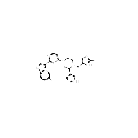 Cc1ncc(CN2CCN(c3ccnc(-c4cnc5ccc(C(F)(F)F)cn45)n3)CC2c2cn[nH]c2)[nH]1